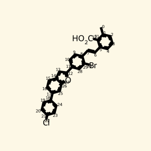 Cc1cccc(C=Cc2ccc(-c3cc4ccc(-c5ccc(Cl)cc5)cc4o3)cc2Br)c1C(=O)O